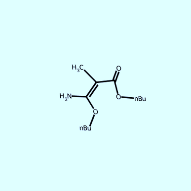 CCCCOC(=O)C(C)=C(N)OCCCC